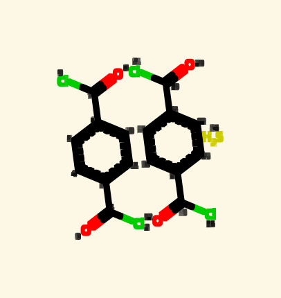 O=C(Cl)c1ccc(C(=O)Cl)cc1.O=C(Cl)c1ccc(C(=O)Cl)cc1.S